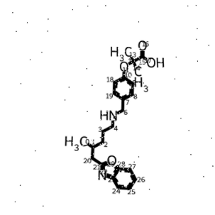 CC(CCCNCc1ccc(OC(C)(C)C(=O)O)cc1)Cc1nc2ccccc2o1